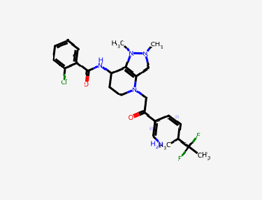 CC(/C=C\C(=C/N)C(=O)CN1CCC(NC(=O)c2ccccc2Cl)C2=C1CN(C)N2C)C(C)(F)F